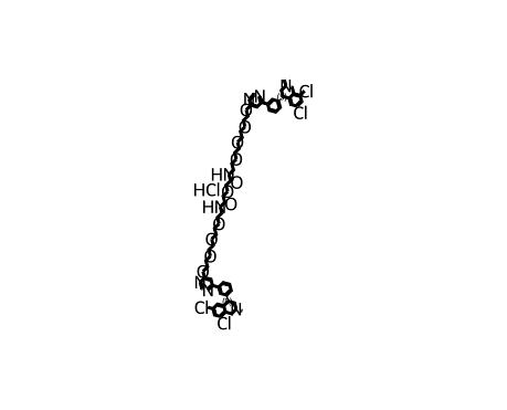 CN1Cc2c(Cl)cc(Cl)cc2[C@@H](c2cccc(-c3cc(OCCOCCOCCOCCNC(=O)COCC(=O)NCCOCCOCCOCCOc4cc(-c5cccc([C@@H]6CN(C)Cc7c(Cl)cc(Cl)cc76)c5)ncn4)ncn3)c2)C1.Cl